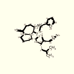 CC(C)C[C@H](NC(=O)[C@@H]1CCCN2C(=O)CC[C@H](NC(=O)c3ccco3)C(=O)N12)C(=O)C=[N+]=[N-]